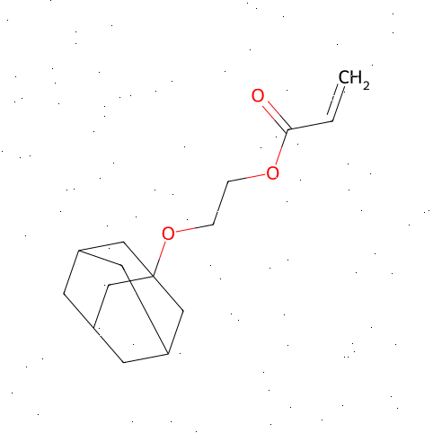 C=CC(=O)OCCOC12CC3CC(CC(C3)C1)C2